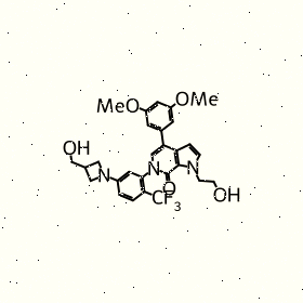 COc1cc(OC)cc(-c2cn(-c3cc(N4CC(CO)C4)ccc3C(F)(F)F)c(=O)c3c2ccn3CCO)c1